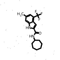 Cc1cc(C(F)(F)F)c2cc(C(=O)NC3CCCCCC3)[nH]c2c1